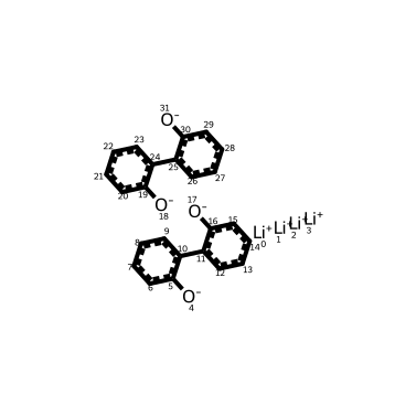 [Li+].[Li+].[Li+].[Li+].[O-]c1ccccc1-c1ccccc1[O-].[O-]c1ccccc1-c1ccccc1[O-]